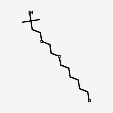 CC(C)(S)CCOCCOCCCCCCCl